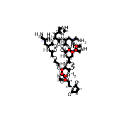 N/C=C(\N)CC(NC(=O)COCCOCCNC(=O)CCN1C(=O)C=CC1=O)C(=O)NC(Cc1c[nH]cn1)C(=O)NC(C/C(N)=C/N)C(=O)NC(Cc1c[nH]cn1)C(=O)NC(C/C(N)=C/N)C(=O)NC(Cc1c[nH]cn1)C(N)=O